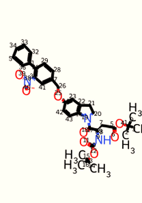 CC(C)(C)OC(=O)C[C@@H](NC(=O)OC(C)(C)C)C(=O)N1CCc2cc(OCc3ccc(-c4ccccc4)c([N+](=O)[O-])c3)ccc21